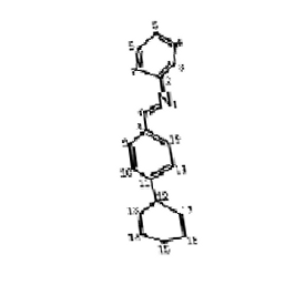 C(=Nc1ccccc1)c1ccc(C2CCCCC2)cc1